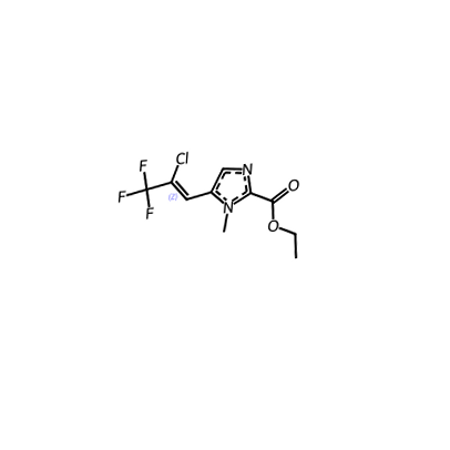 CCOC(=O)c1ncc(/C=C(\Cl)C(F)(F)F)n1C